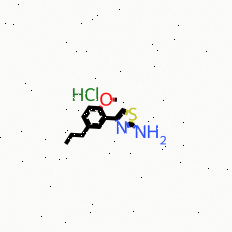 CCCc1ccc(OC)c(-c2csc(N)n2)c1.Cl